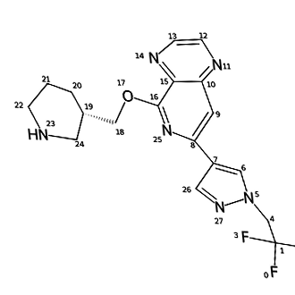 FC(F)(F)Cn1cc(-c2cc3nccnc3c(OC[C@H]3CCCNC3)n2)cn1